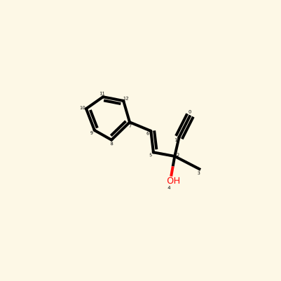 C#CC(C)(O)C=Cc1ccccc1